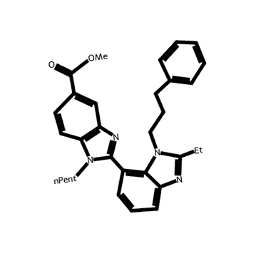 CCCCCn1c(-c2cccc3nc(CC)n(CCCc4ccccc4)c23)nc2cc(C(=O)OC)ccc21